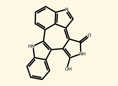 O=c1[nH]c(O)c2c1c1cnc3cccc(c4[nH]c5ccccc5c42)c31